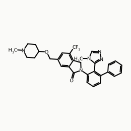 CN1CCC(OCc2cc3c(c(C(F)(F)F)c2)CN(c2cccc(-c4ccccc4)c2-c2nncn2C)C3=O)CC1